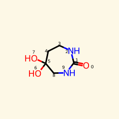 O=C1NCCC(O)(O)CN1